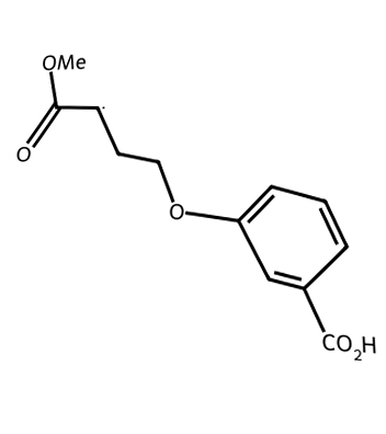 COC(=O)[CH]CCOc1cccc(C(=O)O)c1